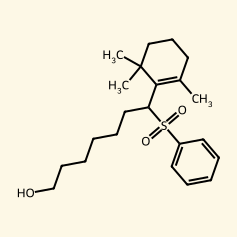 CC1=C(C(CCCCCCO)S(=O)(=O)c2ccccc2)C(C)(C)CCC1